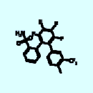 Cc1ccc(-c2c(F)c(F)c(F)c(F)c2-c2ccccc2S(N)(=O)=O)cc1C(F)(F)F